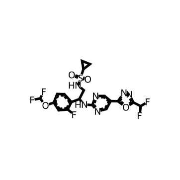 O=S(=O)(NCC(Nc1ncc(-c2nnc(C(F)F)o2)cn1)c1ccc(OC(F)F)cc1F)C1CC1